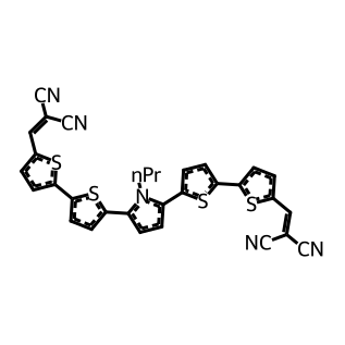 CCCn1c(-c2ccc(-c3ccc(C=C(C#N)C#N)s3)s2)ccc1-c1ccc(-c2ccc(C=C(C#N)C#N)s2)s1